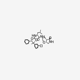 CC(C)C[C@H](NC(=O)O[C@@H](c1ccccc1)C(C)(C)c1cccc(Cl)c1)C(=O)N[C@H](C=O)C[C@@H]1CCNC1=O